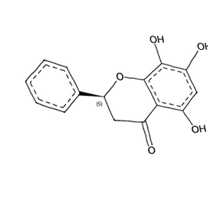 O=C1C[C@@H](c2ccccc2)Oc2c(O)c(O)cc(O)c21